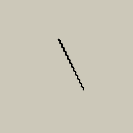 [CH]=CC=CC=CC=CC=CC=CC=CC=CCCCCCCCCCCC